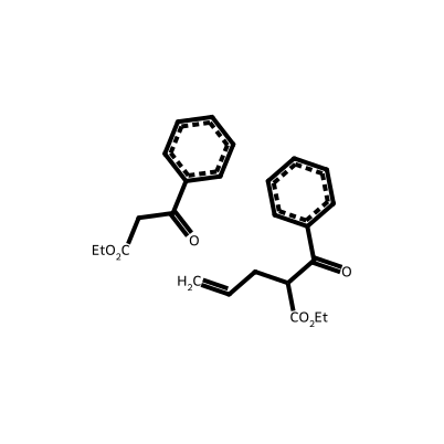 C=CCC(C(=O)OCC)C(=O)c1ccccc1.CCOC(=O)CC(=O)c1ccccc1